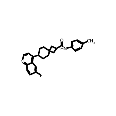 Cc1ccc(NC(=O)C2CC3(CCC(c4ccnc5ccc(F)cc45)CC3)C2)cc1